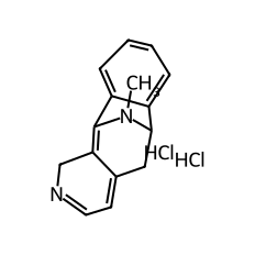 CN1C2=C3CN=CC=C3CC1c1ccccc12.Cl.Cl